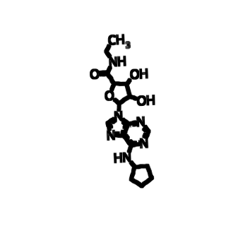 CCNC(=O)C1OC(n2cnc3c(NC4CCCC4)ncnc32)C(O)C1O